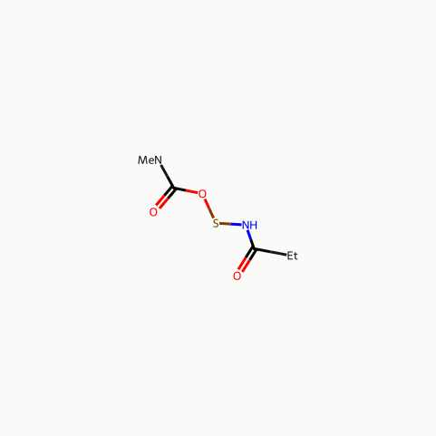 CCC(=O)NSOC(=O)NC